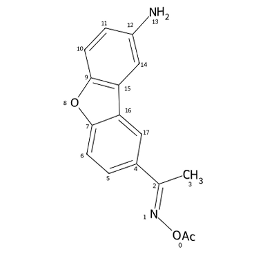 CC(=O)O/N=C(\C)c1ccc2oc3ccc(N)cc3c2c1